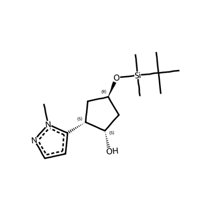 Cn1nccc1[C@@H]1C[C@@H](O[Si](C)(C)C(C)(C)C)C[C@@H]1O